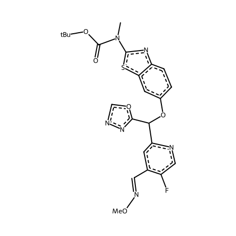 CO/N=C/c1cc(C(Oc2ccc3nc(N(C)C(=O)OC(C)(C)C)sc3c2)c2nnco2)ncc1F